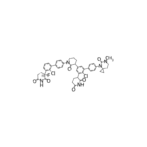 CN1CCC2(CC2)N(c2ccc(-c3cc(C4CCCN(c5ccc(-c6cccc([C@@]7(F)CCC(=O)NC7=O)c6Cl)cc5)C4=O)cc(C4CCC(=O)NC4=O)c3Cl)cc2)C1=O